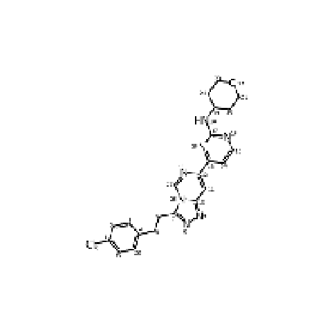 Clc1ccc(CCc2nnc3cc(-c4ccnc(NC5CCOCC5)n4)ncn23)cc1